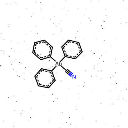 N#[C][Au]([c]1ccccc1)([c]1ccccc1)[c]1ccccc1